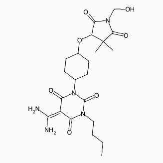 CCCCN1C(=O)C(=C(N)N)C(=O)N(C2CCC(OC3C(=O)N(CO)C(=O)C3(C)C)CC2)C1=O